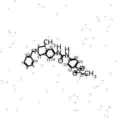 CCCN(Cc1ccccc1)Cc1ccc(NC(=O)Nc2ccc(S(=O)(=O)CC)cc2)cc1